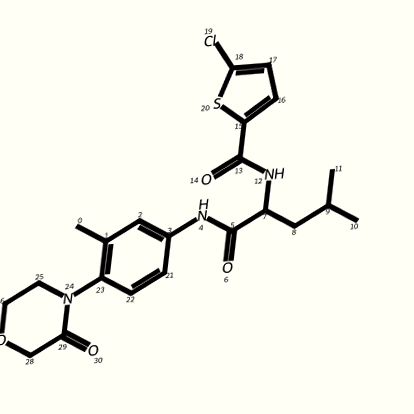 Cc1cc(NC(=O)C(CC(C)C)NC(=O)c2ccc(Cl)s2)ccc1N1CCOCC1=O